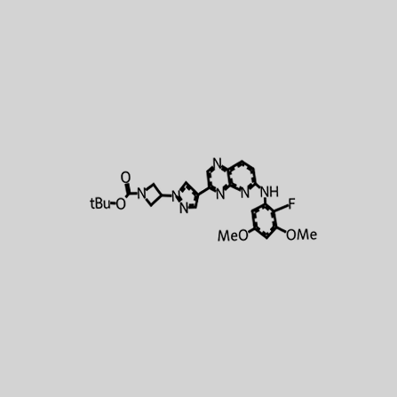 COc1cc(Nc2ccc3ncc(-c4cnn(C5CN(C(=O)OC(C)(C)C)C5)c4)nc3n2)c(F)c(OC)c1